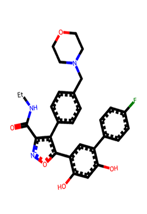 CCNC(=O)c1noc(-c2cc(-c3ccc(F)cc3)c(O)cc2O)c1-c1ccc(CN2CCOCC2)cc1